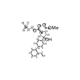 C=Cc1ccccc1-c1ccc([C@]2(O)C[C@@H](C(=O)OC)N(C(=O)OCC[Si](C)(C)C)C2)cc1